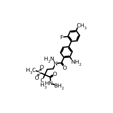 BNC(=O)C(C)(CCN(N)C(=O)c1ccc(-c2ccc(C)cc2F)cc1N)S(C)(=O)=O